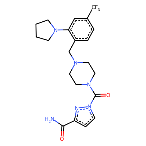 NC(=O)c1ccn(C(=O)N2CCN(Cc3ccc(C(F)(F)F)cc3N3CCCC3)CC2)n1